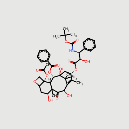 CC(=O)O[C@@]12COC1C[C@H](O)[C@@]1(C)C(=O)[C@H](O)C3=C(C)[C@@H](OC(=O)[C@H](O)[C@@H](NC(=O)OC(C)(C)C)c4ccccc4)C[C@@](O)([C@@H](OC(=O)c4ccccc4)[C@@H]12)C3(C)C